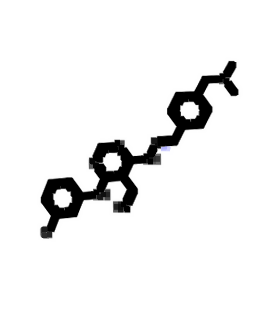 CN(C)Cc1ccc(/C=N/Nc2ncnc(Nc3cccc(Cl)c3)c2C=N)cc1